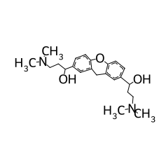 CN(C)CCC(O)c1ccc2c(c1)Cc1cc(C(O)CCN(C)C)ccc1O2